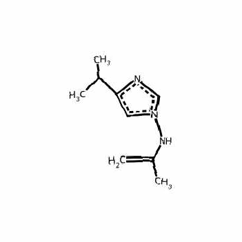 C=C(C)Nn1cnc(C(C)C)c1